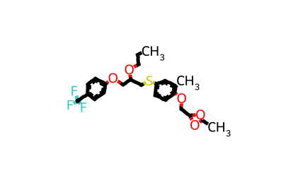 CCCOC(COc1ccc(C(F)(F)F)cc1)CSc1ccc(OCC2OC(C)O2)c(C)c1